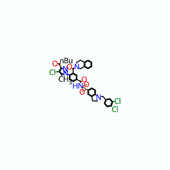 CCCCC(=O)c1nn(-c2ccc(C(=O)NS(=O)(=O)c3ccc4c(c3)CCN4Cc3ccc(Cl)c(Cl)c3)cc2C(=O)N2CCc3ccccc3C2)c(C)c1Cl